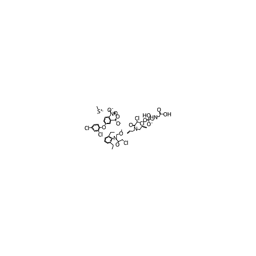 C=CCN(CC=C)C(=O)C(Cl)Cl.CCc1cccc(CC)c1N(COC)C(=O)CCl.COC(=O)c1cc(Oc2ccc(Cl)cc2Cl)ccc1[N+](=O)[O-].C[S+](C)C.O=C(O)CNCP(=O)([O-])O